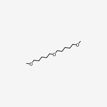 COCCCCCOCCCCCOC